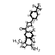 CN1N=CC2C1=c1cc(C(=O)N3CC(c4ccc(C(F)(F)F)cc4)C3)c(F)cc1=NC2N